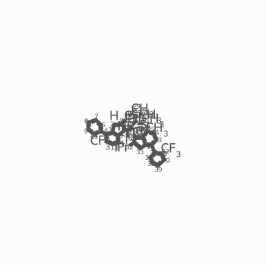 CC(C)C1=Cc2c(-c3ccccc3C(F)(F)F)cccc2[CH]1[Zr]([Cl])([Cl])([BH]N([Si](C)(C)C)[Si](C)(C)C)[CH]1C(C(C)C)=Cc2c(-c3ccccc3C(F)(F)F)cccc21